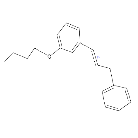 CCCCOc1cccc(/C=C/Cc2ccccc2)c1